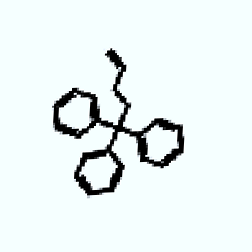 [CH]=CCCC(c1ccccc1)(c1ccccc1)c1ccccc1